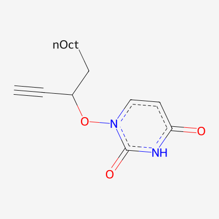 C#CC(CCCCCCCCC)On1ccc(=O)[nH]c1=O